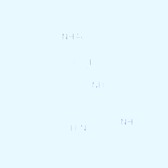 CC(=O)NCC1CCCC1(NC(=N)N)C(=O)O